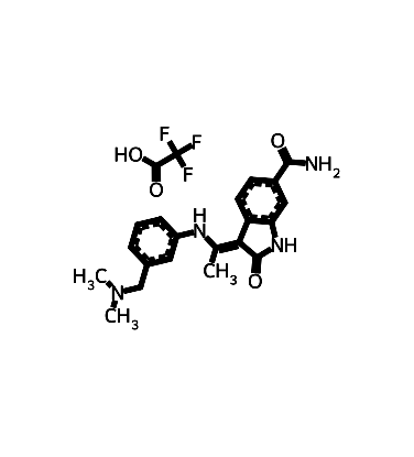 CC(Nc1cccc(CN(C)C)c1)=C1C(=O)Nc2cc(C(N)=O)ccc21.O=C(O)C(F)(F)F